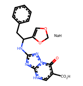 O=C(O)c1c[nH]c2nc(NC(Cc3ccccc3)C3=COCO3)nn2c1=O.[NaH]